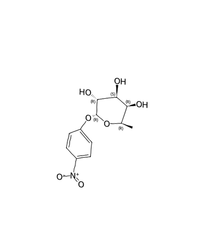 C[C@H]1O[C@H](Oc2ccc([N+](=O)[O-])cc2)[C@H](O)[C@@H](O)[C@H]1O